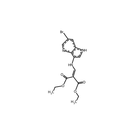 CCOC(=O)C(=CNc1c[nH]c2cc(Br)cnc12)C(=O)OCC